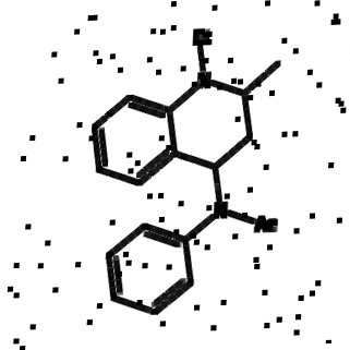 CCN1c2ccccc2C(N(C(C)=O)c2ccccc2)CC1C